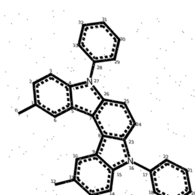 Cc1ccc2c(c1)c1c3c4cc(C)ccc4n(-c4ccccc4)c3ccc1n2-c1ccccc1